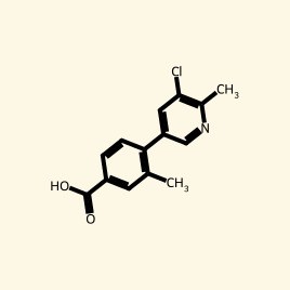 Cc1cc(C(=O)O)ccc1-c1cnc(C)c(Cl)c1